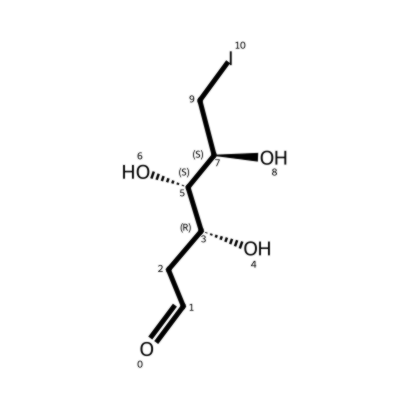 O=CC[C@@H](O)[C@H](O)[C@H](O)CI